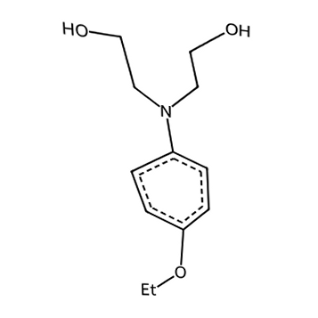 CCOc1ccc(N(CCO)CCO)cc1